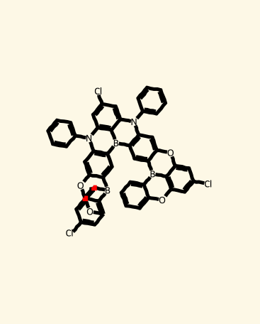 Clc1cc2c3c(c1)Oc1cc4c(cc1B3c1ccccc1O2)B1c2cc3c(cc2N(c2ccccc2)c2cc(Cl)cc(c21)N4c1ccccc1)Oc1cc(Cl)cc2c1B3c1ccccc1O2